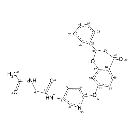 CC(=O)NCC(=O)Nc1ccc(Oc2ccc3c(c2)OC(c2ccccc2)CC3=O)nc1